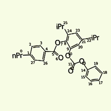 CCCc1ccc(C(=O)Oc2c(OC(=O)Oc3ccccc3)cc(C(C)C)cc2C(C)C)cc1